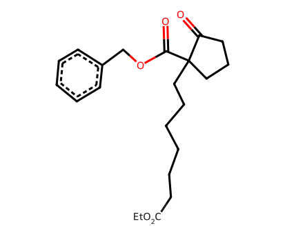 CCOC(=O)CCCCCCC1(C(=O)OCc2ccccc2)CCCC1=O